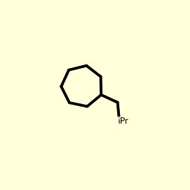 CC(C)CC1CCCCCC1